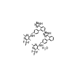 Cc1nc(NCc2ccc(-c3ccccc3-c3nnn[nH]3)cc2)c(C)c(C(F)(F)F)n1.Cc1nc(NCc2ccc(-c3ccccc3-c3nnn[nH]3)cc2)c(C)c(C(F)(F)F)n1.O